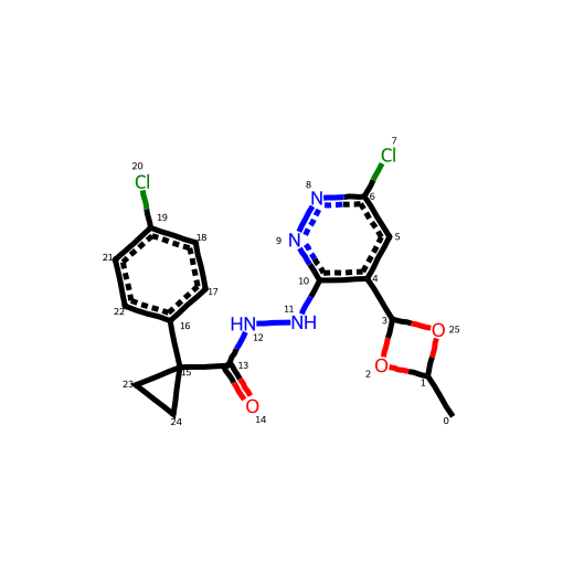 CC1OC(c2cc(Cl)nnc2NNC(=O)C2(c3ccc(Cl)cc3)CC2)O1